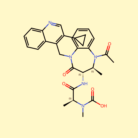 CC(=O)N1c2ccccc2N(Cc2c(C3CC3)cnc3ccccc23)C(=O)[C@@H](NC(=O)[C@H](C)N(C)C(=O)O)[C@@H]1C